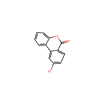 O=c1oc2ccccc2c2cc(Br)ccc12